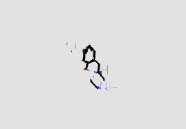 N#Cc1ccc2c(c1)C(=O)N1CCNC[C@H]1C2